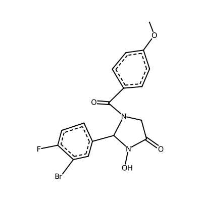 COc1ccc(C(=O)N2CC(=O)N(O)C2c2ccc(F)c(Br)c2)cc1